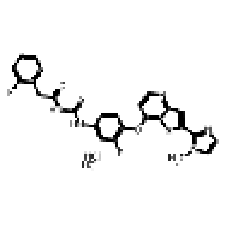 Cl.Cl.Cn1ccnc1-c1cc2nccc(Oc3ccc(NC(=S)NC(=O)Cc4ccccc4F)cc3F)c2s1